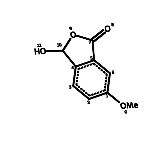 COc1ccc2c(c1)C(=O)OC2O